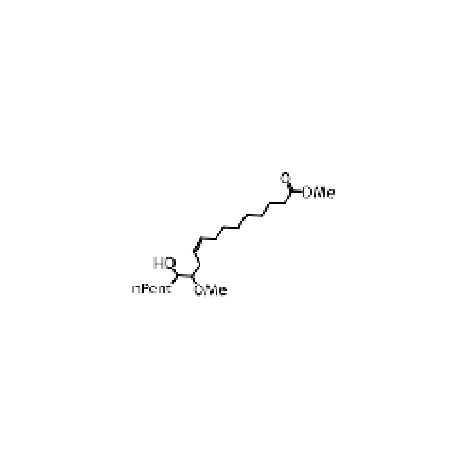 CCCCCC(O)C(C/C=C\CCCCCCCC(=O)OC)OC